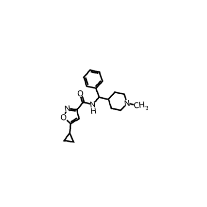 CN1CCC(C(NC(=O)c2cc(C3CC3)on2)c2ccccc2)CC1